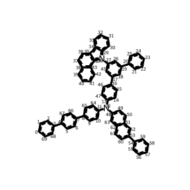 c1ccc(-c2ccc(-c3ccc(N(c4ccc(-c5cc(-c6ccccc6)cc(-n6c7ccccc7c7ccc8ccccc8c76)c5)cc4)c4ccc5cc(-c6ccccc6)ccc5c4)cc3)cc2)cc1